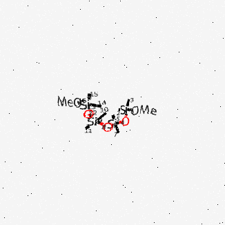 CO[Si](C)(C)O[Si](C)(C)O[Si](C)(C)O[Si](C)(C)OC